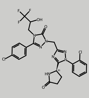 O=C1CC[C@H](c2nc(Cn3nc(-c4ccc(Cl)cc4)n(CC(O)C(F)(F)F)c3=O)nn2-c2ccccc2Cl)N1